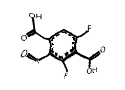 O=Ic1c(C(=O)O)cc(F)c(C(=O)O)c1F